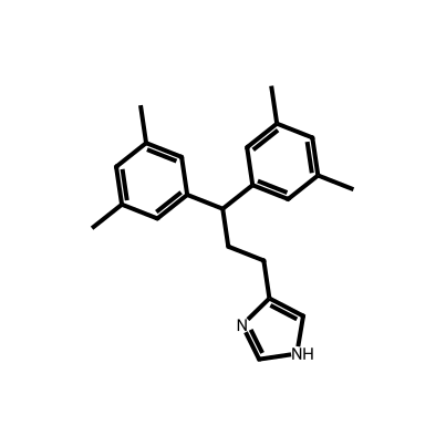 Cc1cc(C)cc(C(CCc2c[nH]cn2)c2cc(C)cc(C)c2)c1